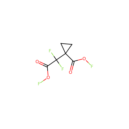 O=C(OF)C(F)(F)C1(C(=O)OF)CC1